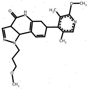 COCCCN1N=CC2C(=O)NC3=C(C=CC(c4c(C)cnc(OC)c4C)C3)C21